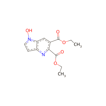 CCOC(=O)c1cc2c(ccn2O)nc1C(=O)OCC